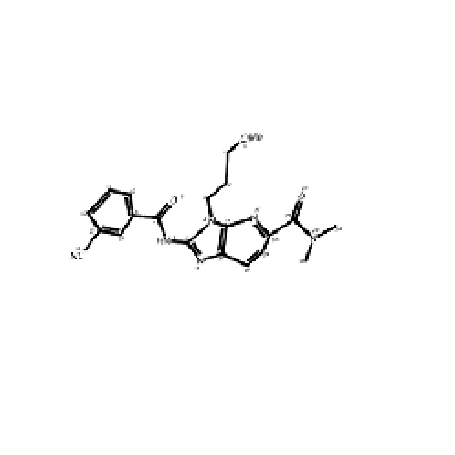 COCCCn1c(NC(=O)c2cccc(C#N)c2)nc2ccc(C(=O)N(C)C)nc21